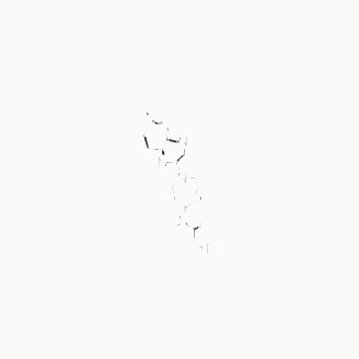 CN(C(=O)OC(C)(C)C)[C@H]1CCCN(c2cnc3nc(Cl)ccc3n2)CC1